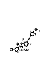 CNc1ncc(Cl)cc1S(=O)(=O)Nc1ccc(F)c(C#Cc2cnc(N)nc2)c1F